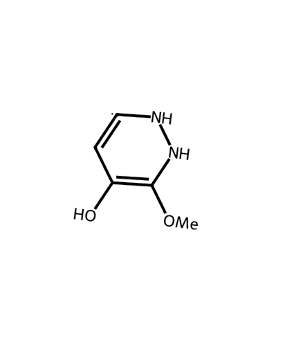 COC1=C(O)C=[C]NN1